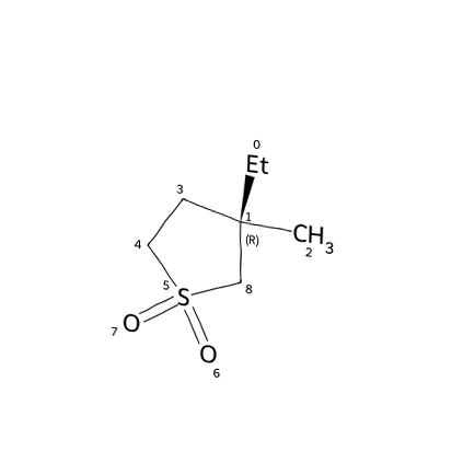 CC[C@]1(C)CCS(=O)(=O)C1